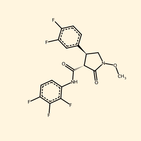 CON1C[C@H](c2ccc(F)c(F)c2)[C@@H](C(=O)Nc2ccc(F)c(F)c2F)C1=O